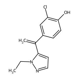 C=C(c1ccc(O)c(Cl)c1)c1ccnn1CC